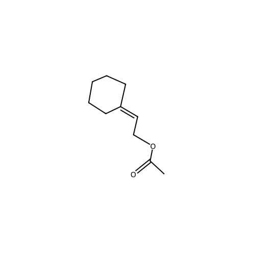 CC(=O)OCC=C1CCCCC1